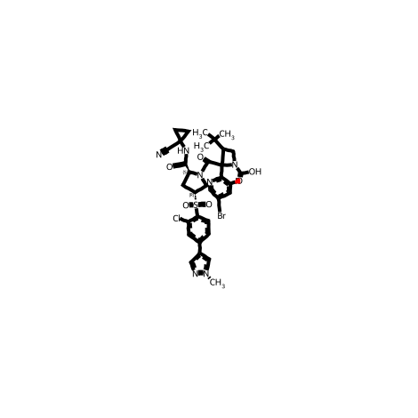 Cn1cc(-c2ccc(S(=O)(=O)[C@@H]3C[C@@H](C(=O)NC4(C#N)CC4)N(C(=O)C4(c5ncc(Br)cc5F)C(C(C)(C)C)CN4C(=O)O)C3)c(Cl)c2)cn1